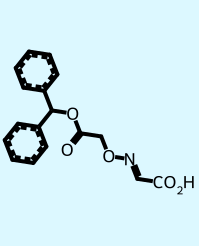 O=C(O)C=NOCC(=O)OC(c1ccccc1)c1ccccc1